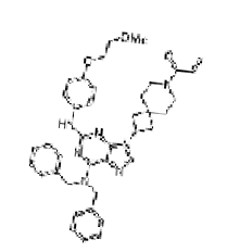 C=CC(=O)N1CCC2(CC1)CC(n1cnc3c(N(Cc4ccccc4)Cc4ccccc4)nc(Nc4ccc(OCCOC)cc4)nc31)C2